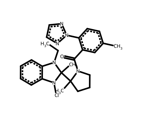 CCN1c2ccccc2N(Cl)C1(C)C1(C)CCCN1C(=O)c1cc(C)ccc1-n1nccn1